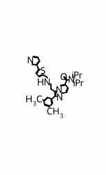 Cc1cc(C)cc(-c2nc3ccc(C(=O)N(C(C)C)C(C)C)cn3c2CCNCc2ccc(-c3cccnc3)s2)c1